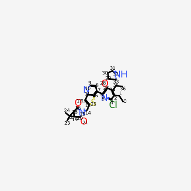 CCc1c(Cl)nc(-c2ccnc3cc(CN4C(=O)C5C(C4=O)C5(C)C)sc23)c(OC2CCNC2)c1CC